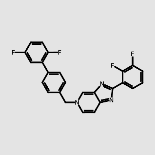 Fc1ccc(F)c(-c2ccc(Cn3ccc4nc(-c5cccc(F)c5F)nc-4c3)cc2)c1